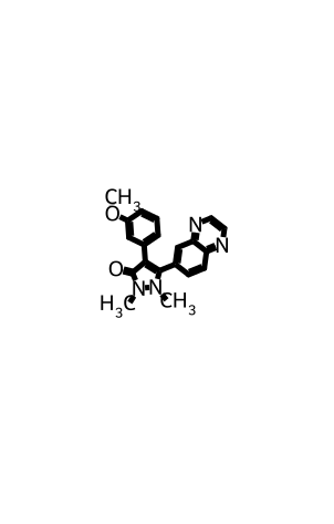 COc1cccc(-c2c(-c3ccc4nccnc4c3)n(C)n(C)c2=O)c1